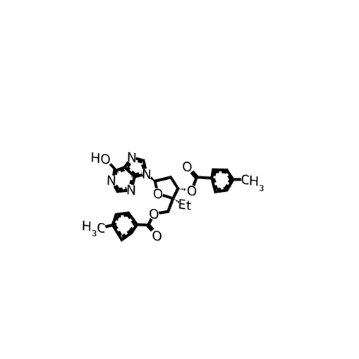 CC[C@]1(COC(=O)c2ccc(C)cc2)O[C@@H](n2cnc3c(O)ncnc32)C[C@@H]1OC(=O)c1ccc(C)cc1